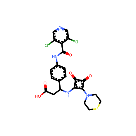 O=C(O)CC(Nc1c(N2CCSCC2)c(=O)c1=O)c1ccc(NC(=O)c2c(Cl)cncc2Cl)cc1